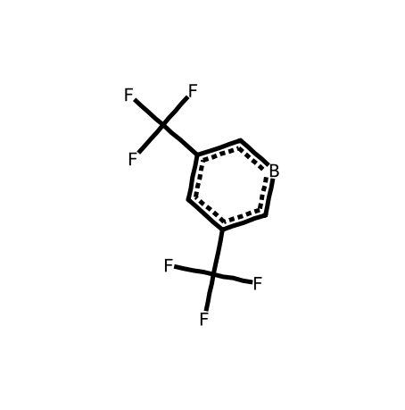 FC(F)(F)c1cbcc(C(F)(F)F)c1